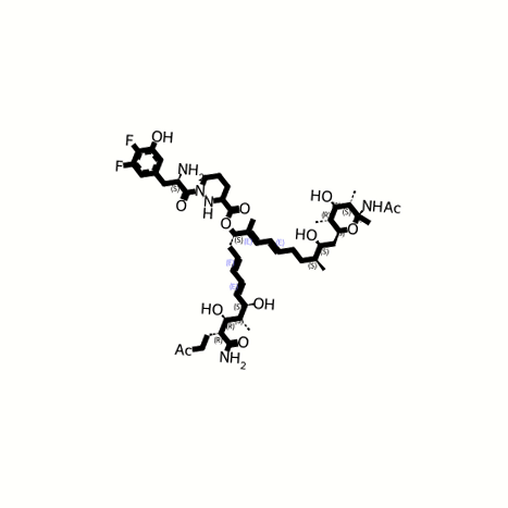 CC(=O)CC[C@@H](C(N)=O)[C@H](O)[C@@H](C)[C@@H](O)/C=C/C=C/C[C@H](OC(=O)C1CCCN(C(=O)[C@@H](N)Cc2cc(O)c(F)c(F)c2)N1)/C(C)=C/C=C/CC[C@H](C)[C@@H](O)C[C@@H]1O[C@@](C)(NC(C)=O)[C@@H](C)[C@@H](O)[C@H]1C